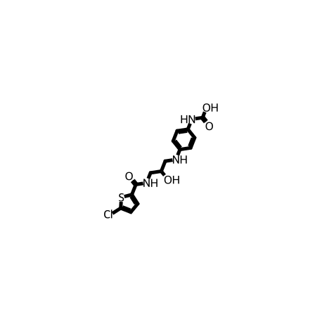 O=C(O)Nc1ccc(NCC(O)CNC(=O)c2ccc(Cl)s2)cc1